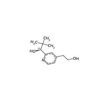 CC(C)(C)[C@H](O)c1cc(CCO)ccn1